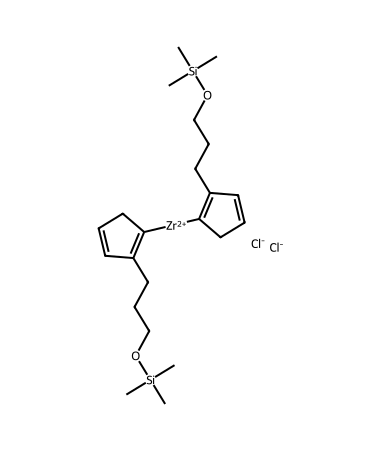 C[Si](C)(C)OCCCC1=[C]([Zr+2][C]2=C(CCCO[Si](C)(C)C)C=CC2)CC=C1.[Cl-].[Cl-]